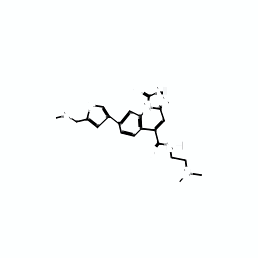 CNCc1cc(-c2ccc3c(C(=O)NCCN(C)C)cc4n[nH]c(=O)n4c3c2)cs1